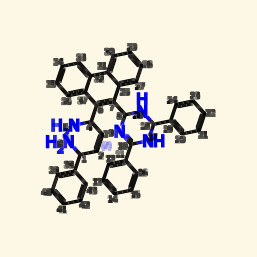 NC(/C=C\C(N)c1c(C2N=C(c3ccccc3)NC(c3ccccc3)N2)c2ccccc2c2ccccc12)c1ccccc1